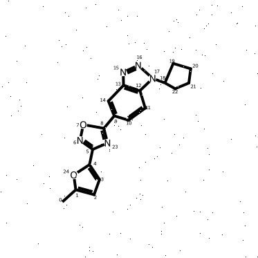 Cc1ccc(-c2noc(-c3ccc4c(c3)nnn4C3CCCC3)n2)o1